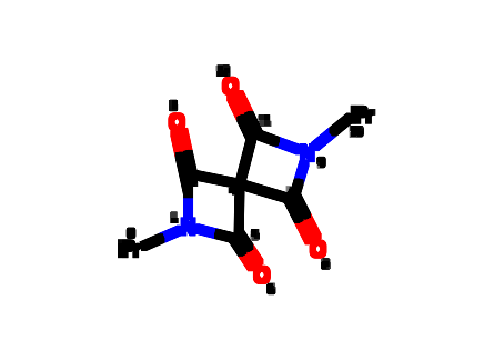 CC(C)N1C(=O)C2(C1=O)C(=O)N(C(C)C)C2=O